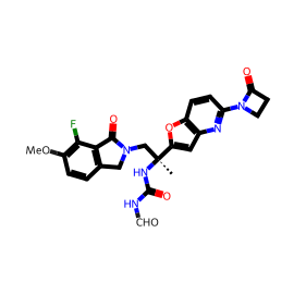 COc1ccc2c(c1F)C(=O)N(C[C@](C)(NC(=O)NC=O)c1cc3nc(N4CCC4=O)ccc3o1)C2